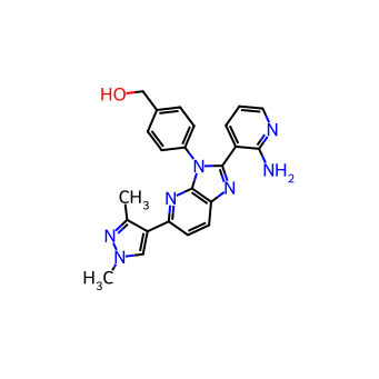 Cc1nn(C)cc1-c1ccc2nc(-c3cccnc3N)n(-c3ccc(CO)cc3)c2n1